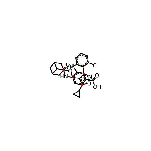 O=C(O)c1ccc(NC(=O)C2C3CC(OCc4c(-c5c(Cl)cccc5Cl)noc4C4CC4)CC2C3)c(F)c1